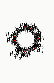 CCCC[C@H]1C(=O)N(C)[C@@H](CCCC)C(=O)N[C@@H](CCCNC(=N)N)C(=O)N[C@H](C(=O)NCC(N)=O)CSCC(=O)N[C@@H](Cc2ccccc2)C(=O)N(C)[C@@H](C)C(=O)N[C@@H](CC(N)=O)C(=O)N2C[C@H](F)C[C@H]2C(=O)N[C@@H](Cc2cnc[nH]2)C(=O)N[C@@H](CC(C)C)C(=O)N(C)CC(=O)N[C@@H](Cc2c[nH]c3ccccc23)C(=O)N[C@@H](CO)C(=O)N[C@@H](Cc2c[nH]c3ccccc23)C(=O)N1C